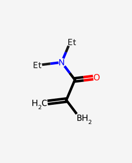 BC(=C)C(=O)N(CC)CC